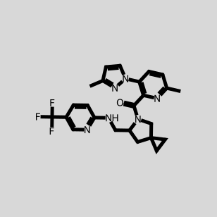 Cc1ccc(-n2ccc(C)n2)c(C(=O)N2CC3(CC3)CC2CNc2ccc(C(F)(F)F)cn2)n1